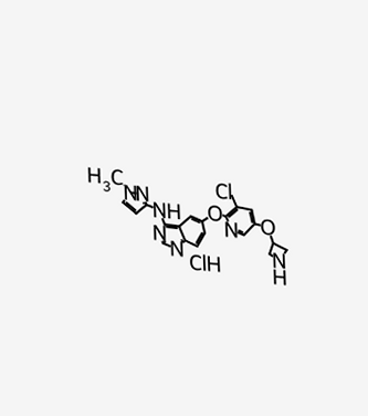 Cl.Cn1ccc(Nc2ncnc3ccc(Oc4ncc(OC5CNC5)cc4Cl)cc23)n1